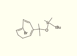 CC(C)(O[Si](C)(C)C(C)(C)C)C1=C/CC/C=C(Br)/C=C\1